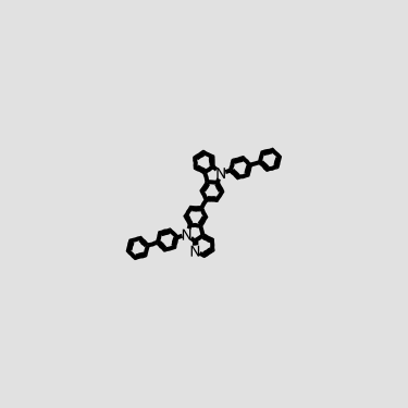 c1ccc(-c2ccc(-n3c4ccccc4c4cc(-c5ccc6c(c5)c5cccnc5n6-c5ccc(-c6ccccc6)cc5)ccc43)cc2)cc1